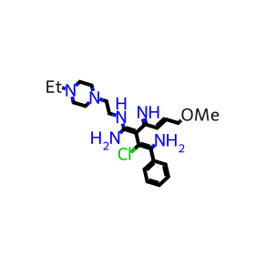 CCN1CCN(CCN/C(N)=C(C(=N)/C=C/COC)/C(Cl)=C(\N)c2ccccc2)CC1